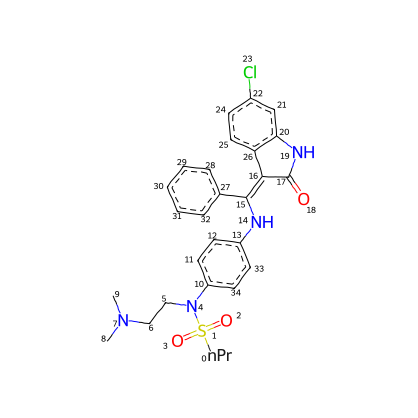 CCCS(=O)(=O)N(CCN(C)C)c1ccc(N/C(=C2\C(=O)Nc3cc(Cl)ccc32)c2ccccc2)cc1